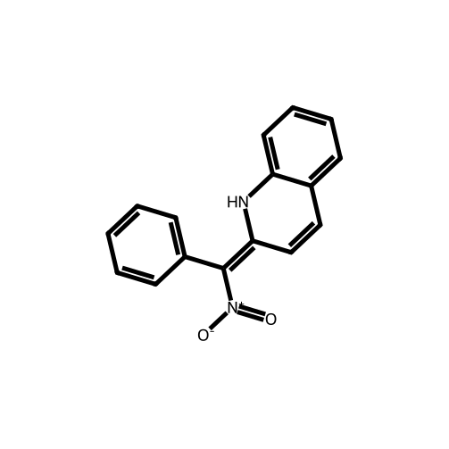 O=[N+]([O-])C(=C1C=Cc2ccccc2N1)c1ccccc1